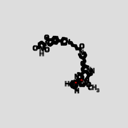 COc1ccc(CN2[C@@H]3C[C@H]2CN(c2ccc(-c4cc(OCC5CCN(C(=O)CCCCN6CCC(c7ccc8c(c7)CN(C7CCC(=O)NC7=O)C8=O)CC6)CC5)cn5ncc(C#N)c45)cn2)C3)cn1